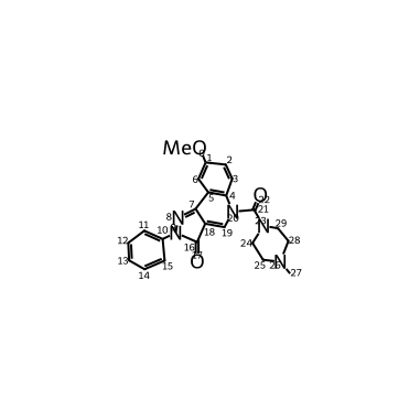 COc1ccc2c(c1)c1nn(-c3ccccc3)c(=O)c-1cn2C(=O)N1CCN(C)CC1